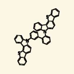 c1cc(-c2ccccc2-n2c3ccccc3c3c4sc5ccccc5c4ccc32)cc(-n2c3ccccc3c3c4sc5ccccc5c4ccc32)c1